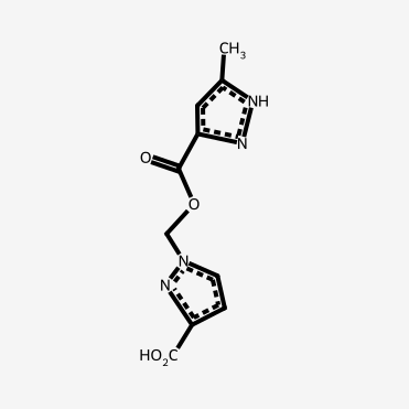 Cc1cc(C(=O)OCn2ccc(C(=O)O)n2)n[nH]1